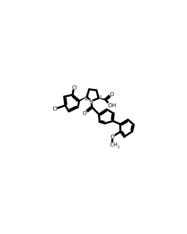 COc1ccccc1-c1ccc(C(=O)N2[C@@H](c3ccc(Cl)cc3Cl)CC[C@H]2C(=O)O)cc1